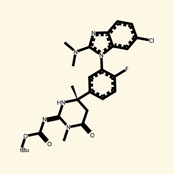 CN1C(=O)C[C@@](C)(c2ccc(F)c(-n3c(N(C)C)nc4ccc(Cl)cc43)c2)N/C1=N/C(=O)OC(C)(C)C